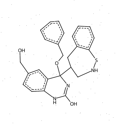 OCc1ccc2c(c1)C(OCc1ccccc1)(C1CNSc3ccccc3C1)N=C(O)N2